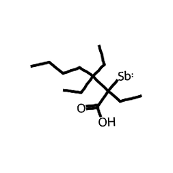 CCCCC(CC)(CC)[C]([Sb])(CC)C(=O)O